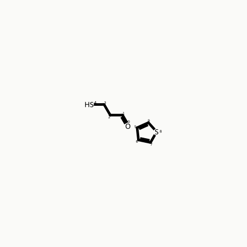 O=CCCS.c1ccsc1